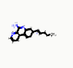 CCC/C=C/c1ccc2c(c1)nc(N)c1ncccc12